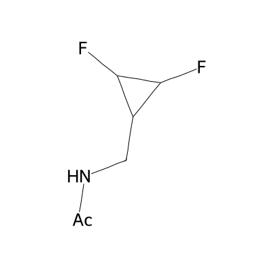 CC(=O)NCC1C(F)C1F